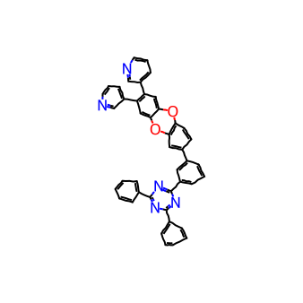 c1ccc(-c2nc(-c3ccccc3)nc(-c3cccc(-c4ccc5c(c4)Oc4cc(-c6cccnc6)c(-c6cccnc6)cc4O5)c3)n2)cc1